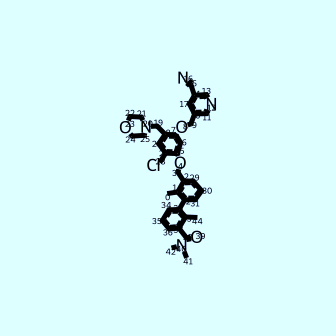 Cc1c(COc2cc(OCc3cncc(C#N)c3)c(CN3CCOCC3)cc2Cl)cccc1-c1cccc(C(=O)N(C)C)c1C